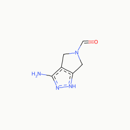 Nc1n[nH]c2c1CN(C=O)C2